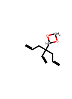 C=CCC(C=C)(CC=C)[SiH]1O[SiH2]O1